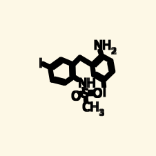 CS(=O)(=O)Nc1ccc(I)cc1Cc1cc(I)ccc1N